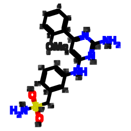 COc1ccccc1-c1cc(Nc2cccc(CS(N)(=O)=O)c2)nc(N)n1